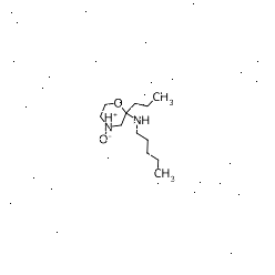 CCCCCNC1(CCC)C[NH+]([O-])CCO1